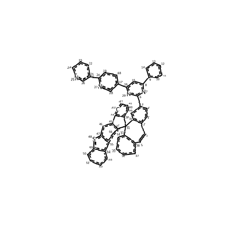 C1=Cc2ccc(-c3nc(-c4ccccc4)cc(-c4ccc(-c5cccnc5)nc4)n3)cc2C2(c3ccccc31)c1ccccc1-c1cc3sc4ccccc4c3cc12